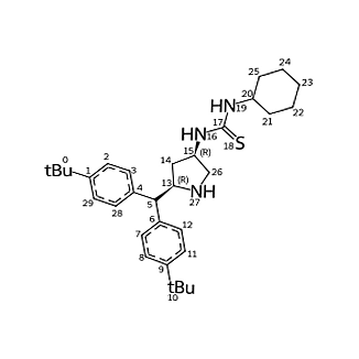 CC(C)(C)c1ccc(C(c2ccc(C(C)(C)C)cc2)[C@H]2C[C@@H](NC(=S)NC3CCCCC3)CN2)cc1